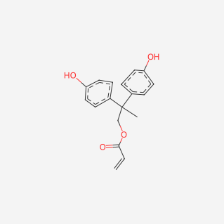 C=CC(=O)OCC(C)(c1ccc(O)cc1)c1ccc(O)cc1